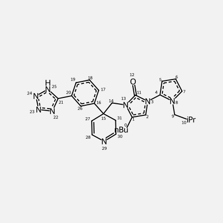 CCCCc1cn(-c2cccn2CC(C)C)c(=O)n1CC1(c2cccc(-c3nnn[nH]3)c2)C=CN=CC1